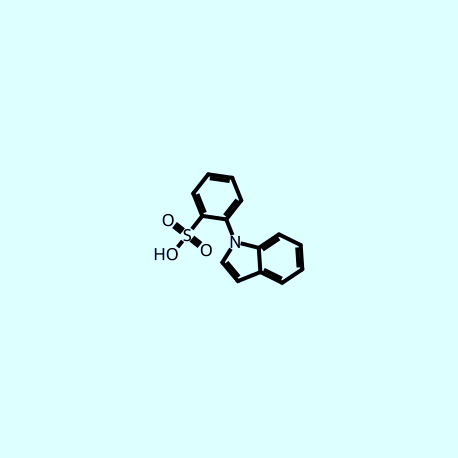 O=S(=O)(O)c1ccccc1-n1ccc2ccccc21